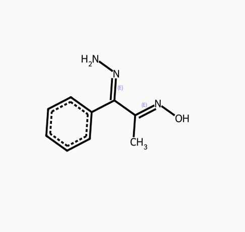 CC(=N\O)/C(=N/N)c1ccccc1